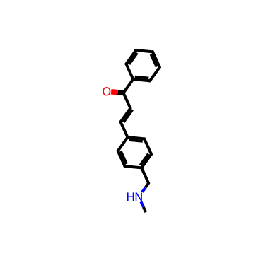 CNCc1ccc(C=CC(=O)c2ccccc2)cc1